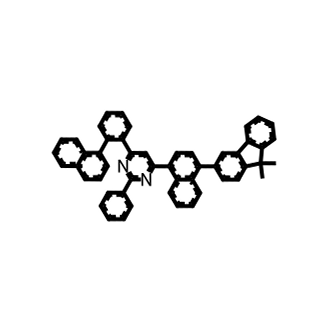 CC1(C)c2ccccc2-c2cc(-c3ccc(-c4cc(-c5ccccc5-c5cccc6ccccc56)nc(-c5ccccc5)n4)c4ccccc34)ccc21